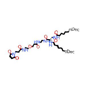 CCCCCCCCCCCCCCCC(=O)NC[C@H](NC(=O)CCCCCCCCCCCCCCC)C(=O)NCCNC(=O)CCOCCNC(=O)CCN1C(=O)C=CC1=O